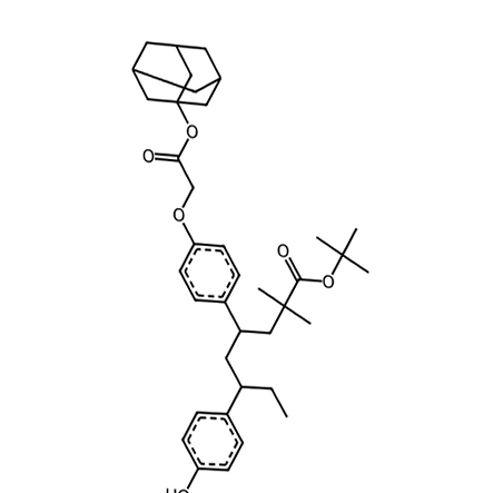 CCC(CC(CC(C)(C)C(=O)OC(C)(C)C)c1ccc(OCC(=O)OC23CC4CC(CC(C4)C2)C3)cc1)c1ccc(O)cc1